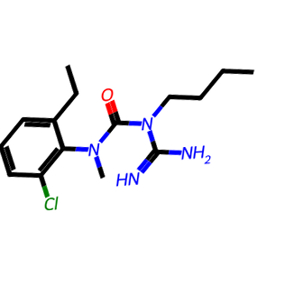 CCCCN(C(=N)N)C(=O)N(C)c1c(Cl)cccc1CC